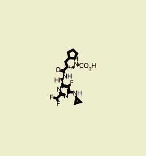 O=C(O)NC[C@@H](CC1CCCC1)C(=O)NNc1nc(C(F)F)nc(NC2CC2)c1F